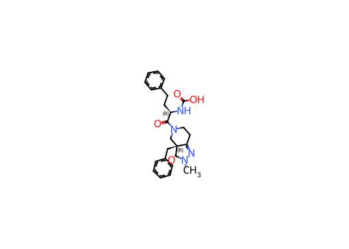 CN1N=C2CCN(C(=O)[C@@H](CCc3ccccc3)NC(=O)O)C[C@@]2(Cc2ccccc2)C1=O